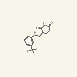 O=C1CCC(CNc2cccc(C(F)(F)F)c2)C(=O)N1